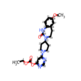 CCOC(=O)Oc1cc(N2CCC(N3CCc4cc(OC)ccc4NC3=O)CC2)ncn1